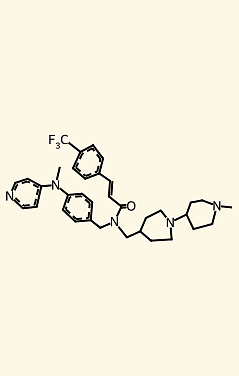 CN1CCC(N2CCC(CN(Cc3ccc(N(C)c4ccncc4)cc3)C(=O)C=Cc3ccc(C(F)(F)F)cc3)CC2)CC1